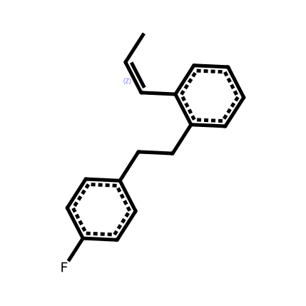 C/C=C\c1ccccc1CCc1ccc(F)cc1